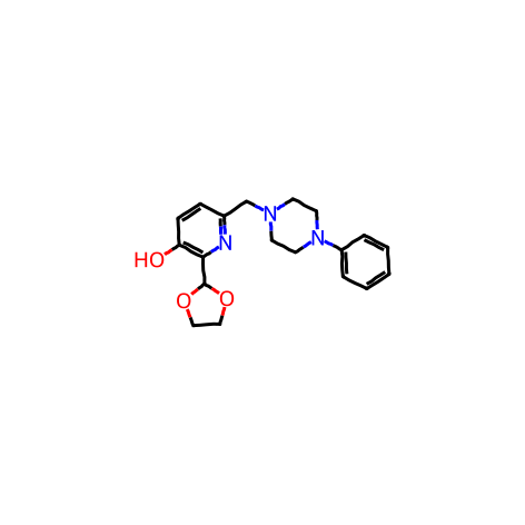 Oc1ccc(CN2CCN(c3ccccc3)CC2)nc1C1OCCO1